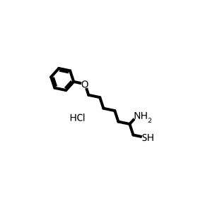 Cl.NC(CS)CCCCCOc1ccccc1